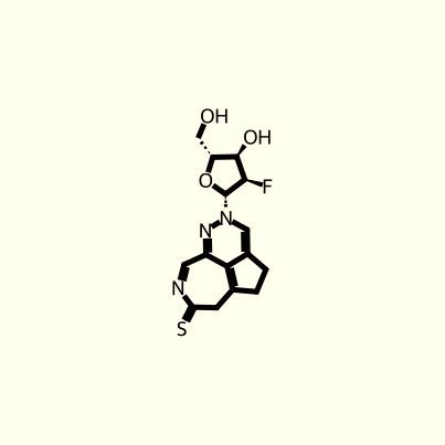 OC[C@H]1O[C@@H](N2C=C3CCC4=C3C(=N2)C=NC(=S)C4)[C@H](F)[C@@H]1O